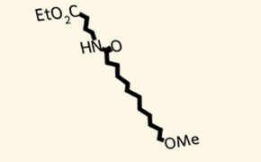 CCOC(=O)CCCNC(=O)CCCCCCCCCCCOC